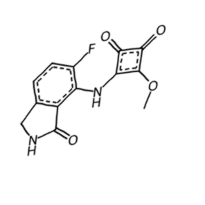 COc1c(Nc2c(F)ccc3c2C(=O)NC3)c(=O)c1=O